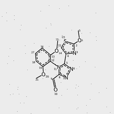 COc1nc(-c2nnc([C]=O)n2-c2c(OC)cccc2OC)cs1